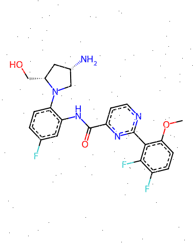 COc1ccc(F)c(F)c1-c1nccc(C(=O)Nc2cc(F)ccc2N2C[C@@H](N)C[C@H]2CO)n1